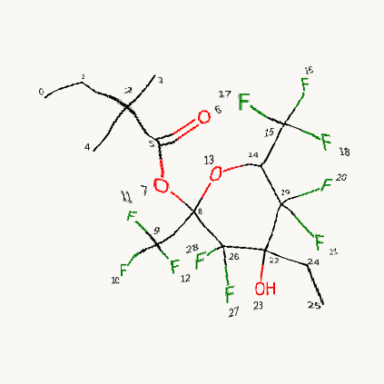 CCC(C)(C)C(=O)OC1(C(F)(F)F)OC(C(F)(F)F)C(F)(F)C(O)(CC)C1(F)F